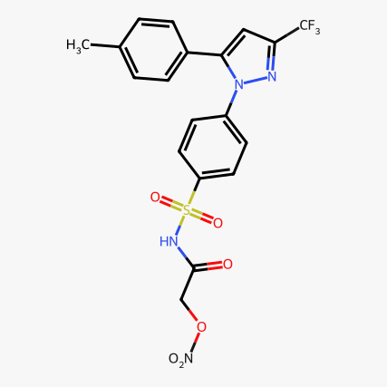 Cc1ccc(-c2cc(C(F)(F)F)nn2-c2ccc(S(=O)(=O)NC(=O)CO[N+](=O)[O-])cc2)cc1